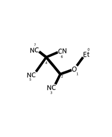 CCOC(C#N)C(C#N)(C#N)C#N